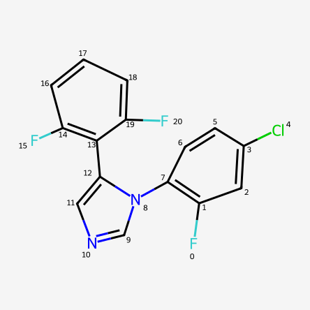 Fc1cc(Cl)ccc1-n1cncc1-c1c(F)cccc1F